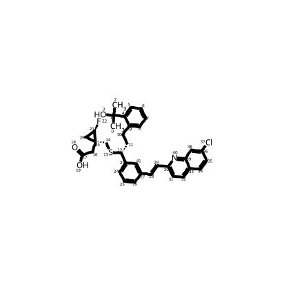 CC(C)(O)c1ccccc1CC[C@@H](SC[C@]1(CC(=O)O)C[C@H]1F)c1cccc(/C=C/c2ccc3ccc(Cl)cc3n2)c1